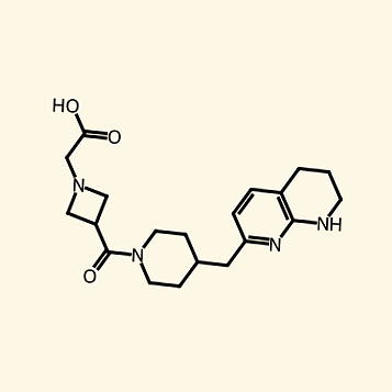 O=C(O)CN1CC(C(=O)N2CCC(Cc3ccc4c(n3)NCCC4)CC2)C1